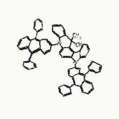 CC1(C)c2ccccc2N(c2ccc3c(-c4ccccc4)c4ccccc4c(-c4ccccc4)c3c2)c2ccc3c(c21)c1ccccc1n3-c1ccc2c(-c3ccccc3)c3ccccc3c(-c3ccccc3)c2c1